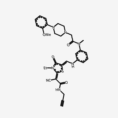 C#CCNC(=O)C(C#N)=c1sc(=CNc2cccc(N(C)C(=O)CN3CCN(c4ccccc4OC)CC3)c2)c(=O)n1CC